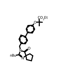 CCCCC1=NC2(CCCC2)C(=O)N1Cc1ccc(-c2ccc(OC(C)(C)C(=O)OCC)cc2)cc1